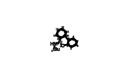 CC(C)(C)NP1Oc2ccccc2-c2ccccc21